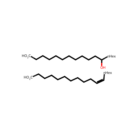 CCCCCC/C=C\CCCCCCCCCC(=O)O.CCCCCCC(O)CCCCCCCCCCC(=O)O